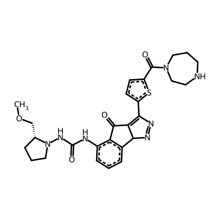 COC[C@H]1CCCN1NC(=O)Nc1cccc2c1C(=O)C1=C(c3ccc(C(=O)N4CCCNCC4)s3)N=NC12